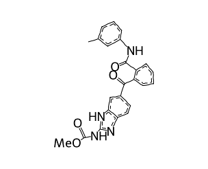 COC(=O)Nc1nc2ccc(C(=O)c3ccccc3C(=O)Nc3cccc(C)c3)cc2[nH]1